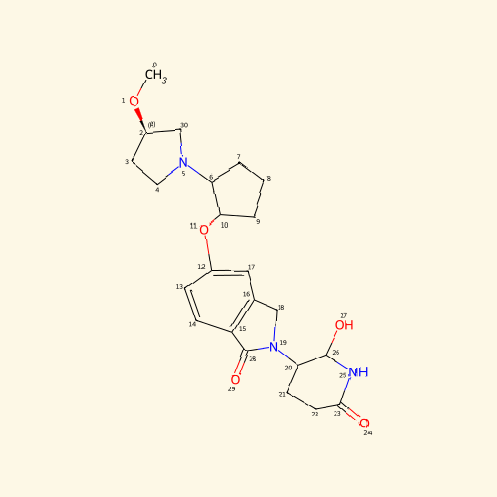 CO[C@@H]1CCN(C2CCCC2Oc2ccc3c(c2)CN(C2CCC(=O)NC2O)C3=O)C1